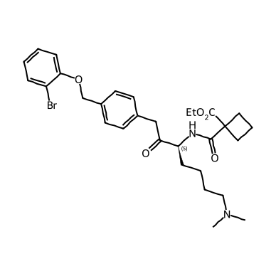 CCOC(=O)C1(C(=O)N[C@@H](CCCCN(C)C)C(=O)Cc2ccc(COc3ccccc3Br)cc2)CCC1